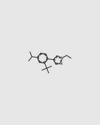 CCn1cc(-c2ccc(C(C)C)cc2C(C)(C)C)cn1